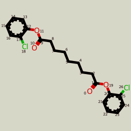 O=C(CCCCCCCC(=O)Oc1ccccc1Cl)Oc1ccccc1Cl